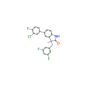 CC1(Cc2cc(F)cc(F)c2)C(=O)Nc2ccc(-c3ccc(F)c(Cl)c3)cc21